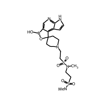 CNS(=O)(=O)CCN(C)S(=O)(=O)CCN1CCC2(CC1)OB(O)c1cnc3[nH]ccc3c12